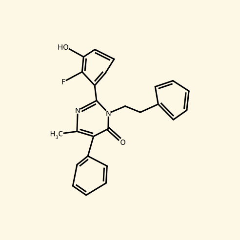 Cc1nc(-c2cccc(O)c2F)n(CCc2ccccc2)c(=O)c1-c1ccccc1